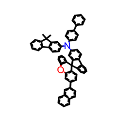 CC1(C)c2ccccc2-c2ccc(N(c3ccc(-c4ccccc4)cc3)c3ccc4c(c3)C3(c5ccccc5Oc5cc(-c6ccc7ccccc7c6)ccc53)c3ccccc3-4)cc21